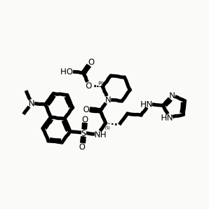 CN(C)c1cccc2c(S(=O)(=O)N[C@@H](CCCNc3ncc[nH]3)C(=O)N3CCCC[C@H]3OC(=O)O)cccc12